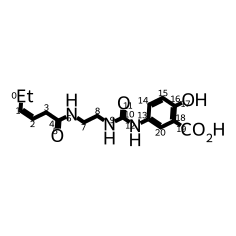 CC/C=C\CC(=O)NCCNC(=O)Nc1ccc(O)c(C(=O)O)c1